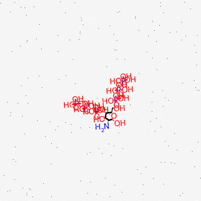 N[C@@H]1[C@@H](O)[C@H](O)[C@@H](CO)O[C@H]1O.O=P(O)(O)O.O=P(O)(O)O.O=P(O)(O)O.O=P(O)(O)O.O=P(O)(O)O.O=P(O)(O)O